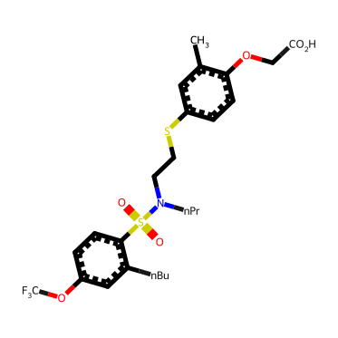 CCCCc1cc(OC(F)(F)F)ccc1S(=O)(=O)N(CCC)CCSc1ccc(OCC(=O)O)c(C)c1